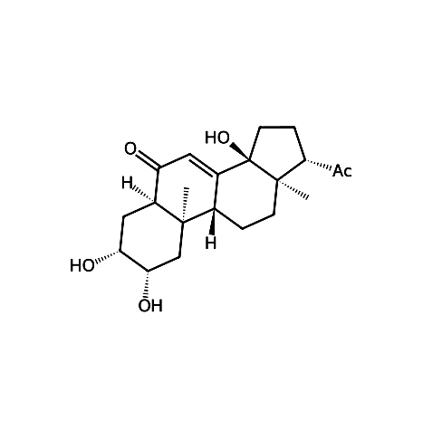 CC(=O)[C@H]1CC[C@@]2(O)C3=CC(=O)[C@@H]4C[C@@H](O)[C@@H](O)C[C@]4(C)[C@H]3CC[C@]12C